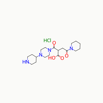 Cl.O=C(O)C(CC(=O)N1CCCCC1)C(=O)N1CCN(C2CCNCC2)CC1